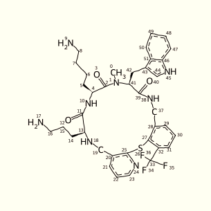 CN1C(=O)[C@H](CCCCN)NC(=O)[C@H](CCCN)NCc2cccnc2Sc2c(cccc2C(F)(F)F)CNC(=O)[C@@H]1Cc1c[nH]c2ccccc12